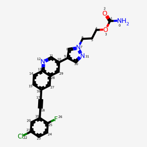 NC(=O)OCCCn1cc(-c2cnc3ccc(C#Cc4cc(Cl)ccc4F)cc3c2)cn1